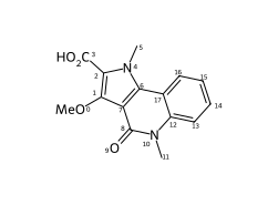 COc1c(C(=O)O)n(C)c2c1c(=O)n(C)c1ccccc21